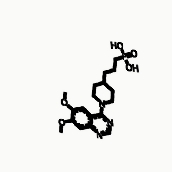 COc1cc2ncnc(N3CCC(CCCP(=O)(O)O)CC3)c2cc1OC